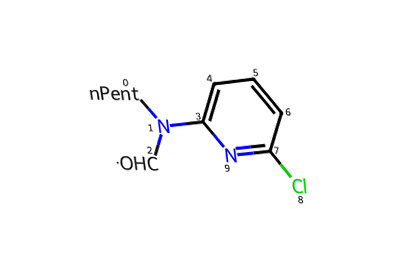 CCCCCN([C]=O)c1cccc(Cl)n1